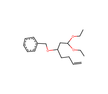 C=CCCC(CC(OCC)OCC)OCc1ccccc1